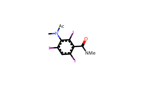 CNC(=O)c1c(I)cc(I)c(N(C)C(C)=O)c1I